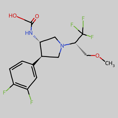 COC[C@H](N1C[C@@H](NC(=O)O)[C@H](c2ccc(F)c(F)c2)C1)C(F)(F)F